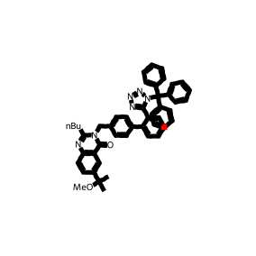 CCCCc1nc2ccc(C(C)(C)OC)cc2c(=O)n1Cc1ccc(-c2ccccc2-c2nnnn2C(c2ccccc2)(c2ccccc2)c2ccccc2)cc1